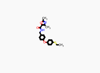 CCSc1ccc(Oc2ccc(CNC(=O)c3oc(C)nc3C)cc2)cc1